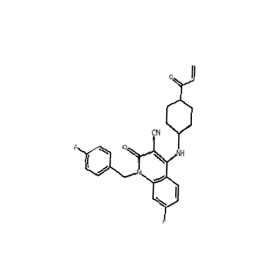 C=CC(=O)C1CCC(Nc2c(C#N)c(=O)n(Cc3ccc(F)cc3)c3cc(F)ccc23)CC1